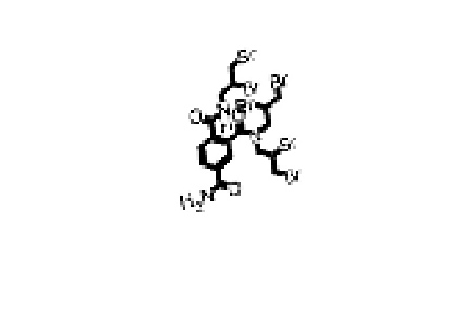 NC(=O)c1ccc(C(=O)NCC(Br)CBr)c(C(=O)N(CC(Br)CBr)CC(Br)CBr)c1